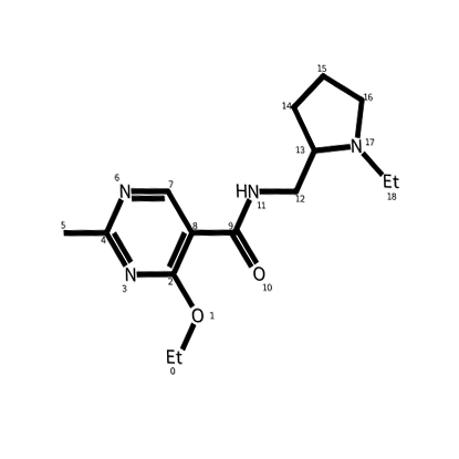 CCOc1nc(C)ncc1C(=O)NCC1CCCN1CC